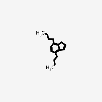 CCCCc1ccc(CCCC)c2c1[CH]C=C2